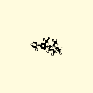 NC(=O)[C@H](C(=O)Nc1ccc(N2CCOCC2=O)cc1C(F)(F)F)N(CC(F)(F)F)CC(F)(F)F